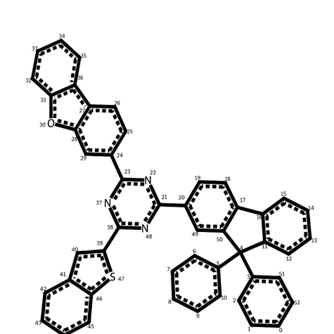 c1ccc(C2(c3ccccc3)c3ccccc3-c3ccc(-c4nc(-c5ccc6c(c5)oc5ccccc56)nc(-c5cc6ccccc6s5)n4)cc32)cc1